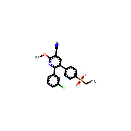 CCS(=O)(=O)c1ccc(-c2cc(C#N)c(OC)nc2-c2cccc(Cl)c2)cc1